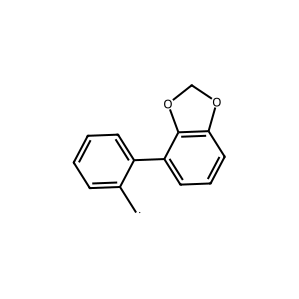 [CH2]c1ccccc1-c1cccc2c1OCO2